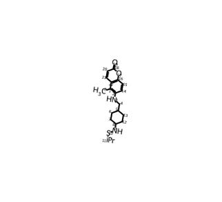 Cc1c(NCC2CCC(NSC(C)C)CC2)ccc2oc(=O)ccc12